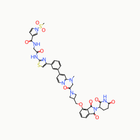 CN(CC(=O)N1CC(COc2cccc3c2C(=O)N(C2CCC(=O)NC2=O)C3=O)C1)c1cc(-c2cccc(-c3csc(NC(=O)CNC(=O)c4ccn(S(C)(=O)=O)c4)n3)c2)ccn1